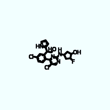 OCC(c1ccc[nH]1)c1cc(Cl)ccc1-c1nc(NC2CC(O)C(F)C2)ncc1Cl